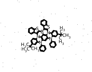 CC(C)(C)c1ccc2c(c1)n(-c1ccccc1)c1cc3c4c5c1n2-c1sc2ccccc2c1B5c1sc2ccccc2c1-n4c1ccc(C(C)(C)C)cc1n3-c1ccccc1